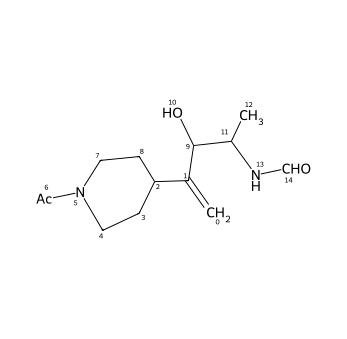 C=C(C1CCN(C(C)=O)CC1)C(O)C(C)NC=O